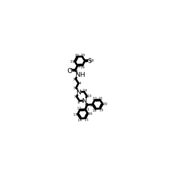 O=C(NCCCN1CCN(C(c2ccccc2)c2ccccc2)CC1)C1=CC(=S)CC=C1